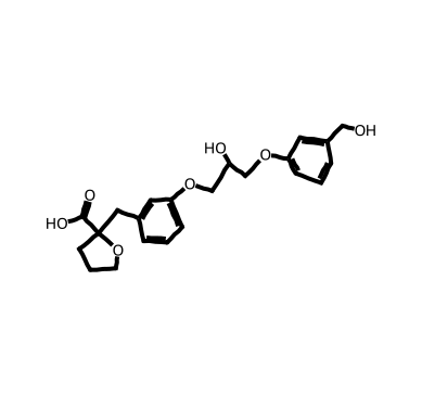 O=C(O)C1(Cc2cccc(OCC(O)COc3cccc(CO)c3)c2)CCCO1